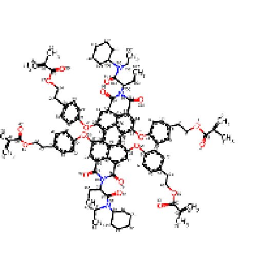 C=C(C)C(=O)OCCc1ccc(Oc2cc3c4c(cc(Oc5ccc(CCOC(=O)C(=C)C)cc5)c5c6c(Oc7ccc(CCOC(=O)C(=C)C)cc7)cc7c8c(cc(Oc9ccc(CCOC(=O)C(=C)C)cc9)c(c2c45)c86)C(=O)N(C(CC)C(=O)N(CC)C2CCCCC2)C7=O)C(=O)N(C(CC)C(=O)N(CC)C2CCCCC2)C3=O)cc1